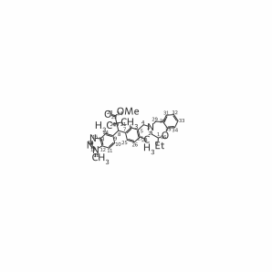 CCC1CN(Cc2cc(C(c3ccc4c(c3)nnn4C)C(C)(C)C(=O)OC)ccc2C)Cc2ccccc2O1